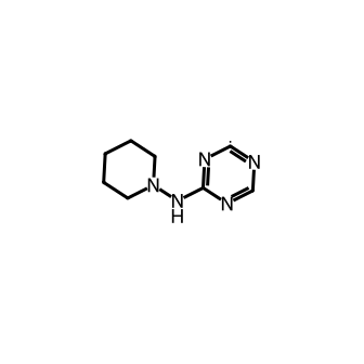 [c]1ncnc(NN2CCCCC2)n1